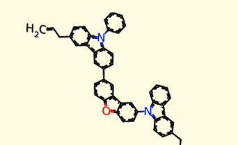 C=CCc1ccc2c(c1)c1ccccc1n2-c1ccc2oc3ccc(-c4ccc5c(c4)c4cc(CC=C)ccc4n5-c4ccccc4)cc3c2c1